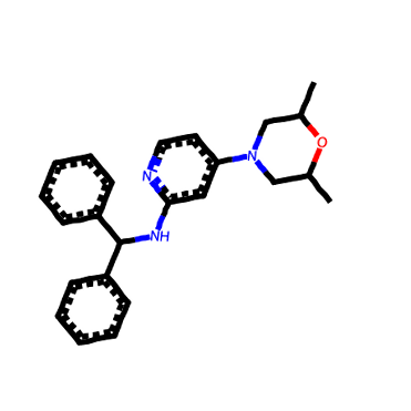 CC1CN(c2ccnc(NC(c3ccccc3)c3ccccc3)c2)CC(C)O1